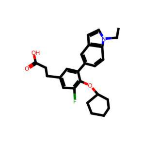 CCn1ccc2cc(-c3cc(CCC(=O)O)cc(F)c3OC3CCCCC3)ccc21